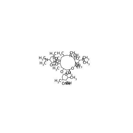 CC[C@H]1OC(=O)[C@H](C)C(O[C@H]2C[C@@](C)(OC)[C@@H](O)[C@H](C)O2)[C@H](C)[C@@H](O[C@@H]2O[C@H](C)C[C@H](N(C)C)[C@H]2O)[C@](C)(O)C[C@@H](C)CN(C)[C@H](C)[C@H]2OC(N(C)C)O[C@@]21C